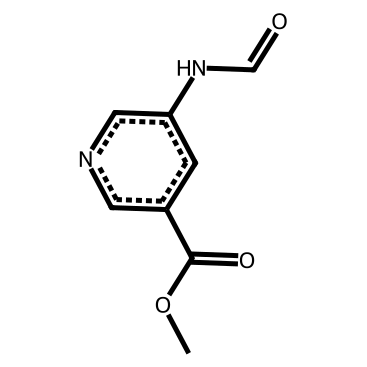 COC(=O)c1cncc(NC=O)c1